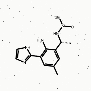 Cc1cc(-c2ncc[nH]2)c(N)c([C@@H](C)N[S+]([O-])C(C)(C)C)c1